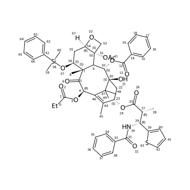 CCC(=O)O[C@H]1C(=O)[C@@]2(C)C([C@H](OC(=O)c3ccccc3)[C@]3(O)C[C@H](OC(=O)[C@H](C)[C@@H](NC(=O)c4ccccc4)c4cccs4)C(C)=C1C3(C)C)[C@]1(OC(C)=O)CO[C@@H]1C[C@@H]2O[Si](C)(C)c1ccccc1